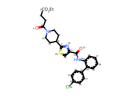 CCOC(=O)CCC(=O)N1CCC(c2nc(C(=O)Nc3ccccc3-c3ccc(Cl)cc3)cs2)CC1